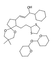 C1CCC(OC2CCCCO2)OC1.CC1(C)COC2(CCC(C=CC(O)C3CCCCC3)C2CCC2SCCS2)OC1